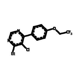 CCc1ncnc(-c2ccc(OCC(F)(F)F)cc2)c1Cl